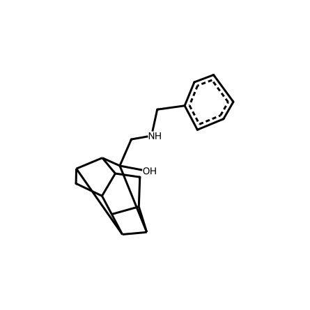 OC1(CNCc2ccccc2)C2C3CC4C5C3CC2C5C41